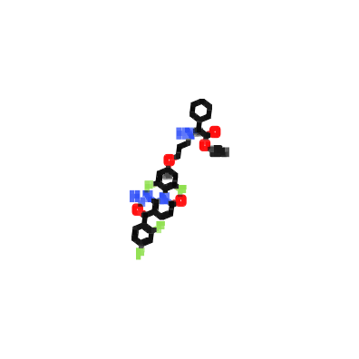 CC(C)(C)OC(=O)[C@@H](NCCCO[C@@H]1C=C(F)C(n2c(N)c(C(=O)c3ccc(F)cc3F)ccc2=O)=C(F)C1)C1CCCCC1